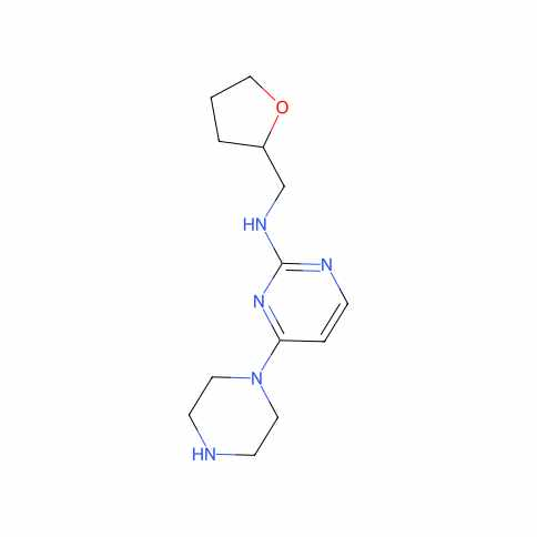 c1cc(N2CCNCC2)nc(NCC2CCCO2)n1